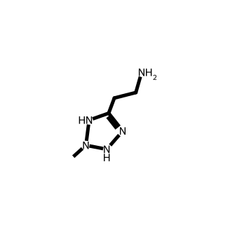 CN1NN=C(CCN)N1